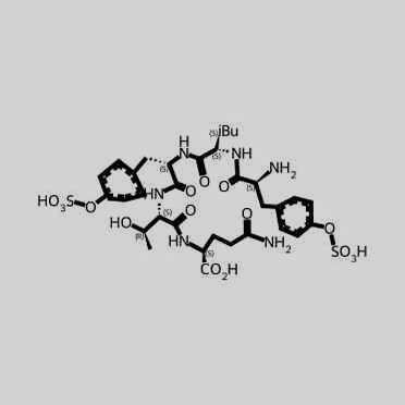 CC[C@H](C)[C@H](NC(=O)[C@@H](N)Cc1ccc(OS(=O)(=O)O)cc1)C(=O)N[C@@H](Cc1ccc(OS(=O)(=O)O)cc1)C(=O)N[C@H](C(=O)N[C@@H](CCC(N)=O)C(=O)O)[C@@H](C)O